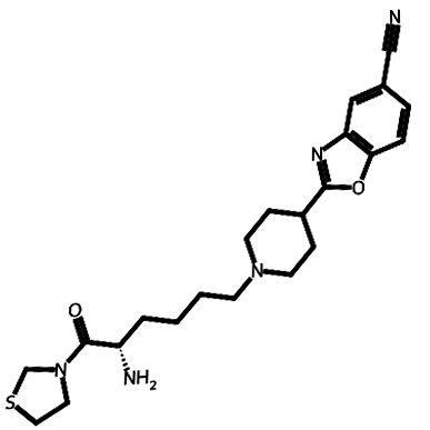 N#Cc1ccc2oc(C3CCN(CCCC[C@H](N)C(=O)N4CCSC4)CC3)nc2c1